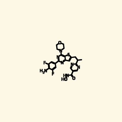 CC(Cc1cc2nc(-c3cc(F)c(N)c(F)c3)nc(N3CCOCC3)c2s1)c1ncc(C(=O)NO)cn1